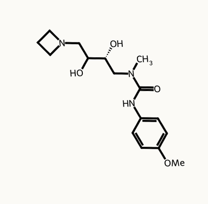 COc1ccc(NC(=O)N(C)C[C@@H](O)C(O)CN2CCC2)cc1